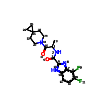 C[C@@H](NC(=O)c1nc2c(F)c(F)ccc2[nH]1)C(=O)N1CCC2(CC1)CC2